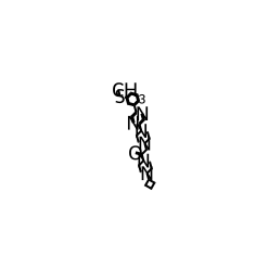 CSc1cccc(-c2cnc(N3CCN(CC(=O)N4CCN(C5CCC5)CC4)CC3)cn2)c1